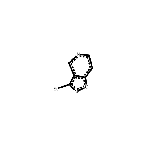 CCc1noc2ccncc12